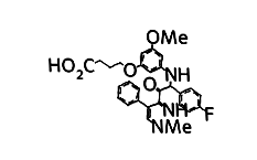 CN/C=C(\C(=N)C(=O)C(Nc1cc(OC)cc(OCCCC(=O)O)c1)c1ccc(F)cc1)c1ccccc1